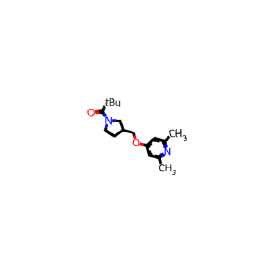 Cc1cc(OCC2CCN(C(=O)C(C)(C)C)C2)cc(C)n1